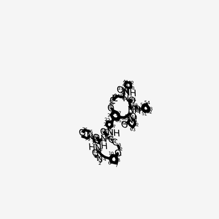 CN(C)[C@H]1Cc2cccc(c2)OCCCC[C@@H](C(=O)NC2CCC(c3cc4cc(c3)OCCCC[C@@H](C(=O)NC3CCCC3)NC(=O)[C@H](COc3ccccc3)NC(=O)[C@@H](N3CCCC3=O)C4)C2)NC(=O)[C@H](CCN2CCOCC2)NC1=O